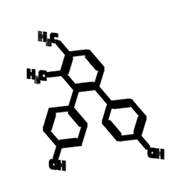 Cc1ccc(-c2ccc(O)cc2)c(-c2ccc(O)cc2)c1C